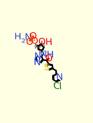 NS(=O)(=O)OC[C@H]1C[C@@H](Nc2ncncc2C(=O)c2cc(Cc3ccc(Cl)cn3)cs2)C[C@@H]1O